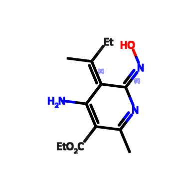 CCOC(=O)C1=C(N)C(=C(\C)CC)/C(=N\O)N=C1C